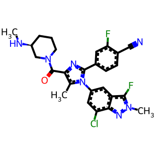 CN[C@H]1CCCN(C(=O)c2nc(-c3ccc(C#N)c(F)c3)n(-c3cc(Cl)c4nn(C)c(F)c4c3)c2C)C1